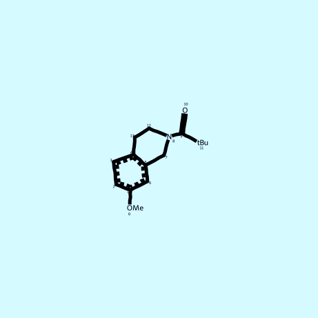 COc1ccc2c(c1)CN(C(=O)C(C)(C)C)CC2